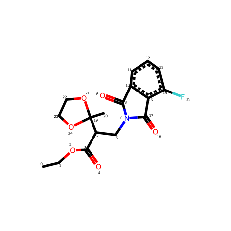 CCOC(=O)C(CN1C(=O)c2cccc(F)c2C1=O)C1(C)OCCO1